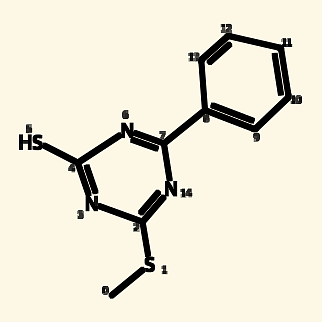 CSc1nc(S)nc(-c2ccccc2)n1